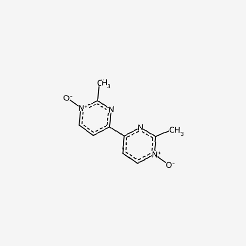 Cc1nc(-c2cc[n+]([O-])c(C)n2)cc[n+]1[O-]